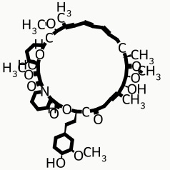 CO[C@H]1C[C@@H]2CC[C@@H](C)[C@@](O)(O2)C(=O)C(=O)N2CCCC[C@H]2C(=O)O[C@H](CC[C@@H]2CC[C@@H](O)[C@H](OC)C2)CC(=O)C/C=C(\C)[C@@H](O)[C@@H](OC)C(=O)[C@H](C)CC/C=C/C=C/C=C/1C